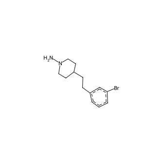 NN1CCC(CCc2cccc(Br)c2)CC1